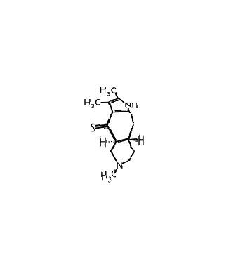 Cc1[nH]c2c(c1C)C(=S)[C@@H]1CN(C)CC[C@H]1C2